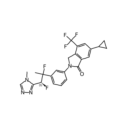 Cn1cnnc1[C@H](F)C(C)(F)c1cccc(N2Cc3c(cc(C4CC4)cc3C(F)(F)F)C2=O)c1